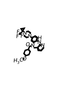 COC1CCC(C(=O)N2Cc3cccnc3Nc3ccc(N4CCN(C5(C(F)(F)F)CC5)CC4)cc32)CC1